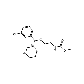 COC(=O)NCCOC(c1cccc(Cl)c1)[C@H]1CNCCO1